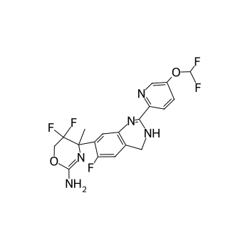 CC1(c2cc3c(cc2F)CNC(c2ccc(OC(F)F)cn2)=N3)N=C(N)OCC1(F)F